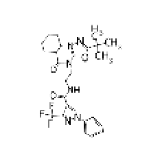 CC(C)(C)c1nnc(N(CCNC(=O)c2cn(-c3ccccc3)nc2C(F)(F)F)C(=O)C2CCCCC2)o1